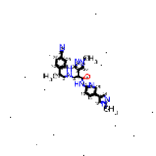 C[C@@H](CNCC(C(=O)Nc1ccc(-c2cnn(C)c2)cn1)c1cnn(C)c1)c1ccc(C#N)cc1